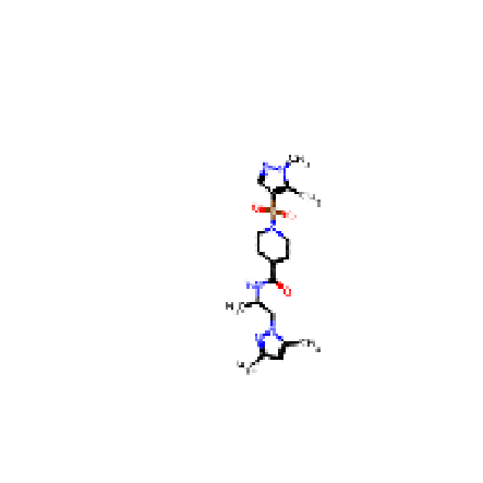 Cc1cc(C)n(CC(C)NC(=O)C2CCN(S(=O)(=O)c3cnn(C)c3C)CC2)n1